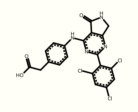 O=C(O)Cc1ccc(Nc2nc(-c3c(Cl)cc(Cl)cc3Cl)nc3c2C(=O)NC3)cc1